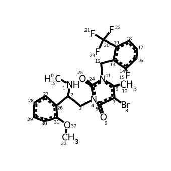 CNC(Cn1c(=O)c(Br)c(C)n(Cc2c(F)cccc2C(F)(F)F)c1=O)c1ccccc1OC